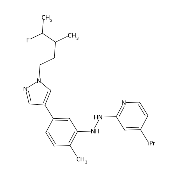 Cc1ccc(-c2cnn(CCC(C)C(C)F)c2)cc1NNc1cc(C(C)C)ccn1